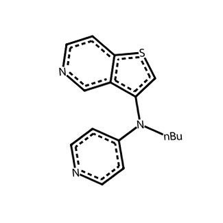 CCCCN(c1ccncc1)c1csc2ccncc12